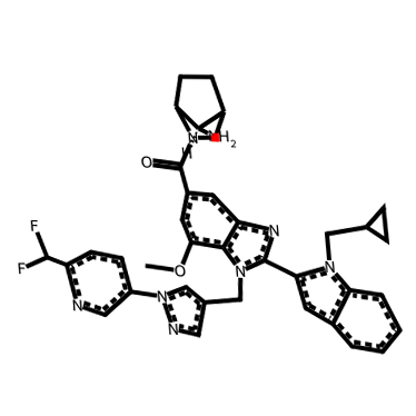 COc1cc(C(=O)N2CC3CCC2[C@@H]3N)cc2nc(-c3cc4ccccc4n3CC3CC3)n(Cc3cnn(-c4ccc(C(F)F)nc4)c3)c12